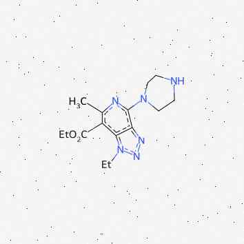 CCOC(=O)c1c(C)nc(N2CCNCC2)c2nnn(CC)c12